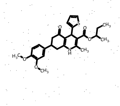 CCC(C)OC(=O)C1=C(C)NC2=C(C(=O)CC(c3ccc(OC)c(OC)c3)C2)C1c1cccs1